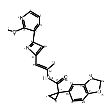 COc1ncccc1C1=NC(/C=C(\C)NC(=O)C2(c3ccc4c(c3)OCO4)CC2)=C1